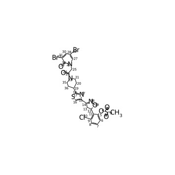 CS(=O)(=O)Oc1cccc(Cl)c1C1CC(c2csc(C3CCN(C(=O)Cn4cc(Br)cc(Br)c4=O)CC3)n2)=NO1